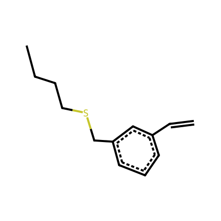 C=Cc1cccc(CSCCCC)c1